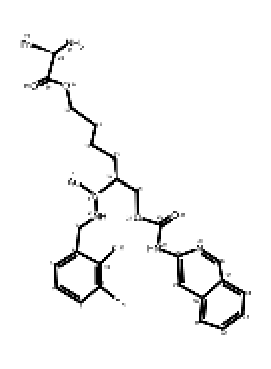 CC(=O)N(NCc1cccc(F)c1F)[C@@H](CCCCOC(=O)[C@H](N)C(C)C)COC(=O)Nc1cc2ccccc2cn1